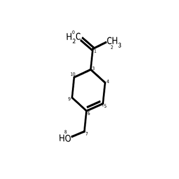 C=C(C)C1C[C]=C(CO)CC1